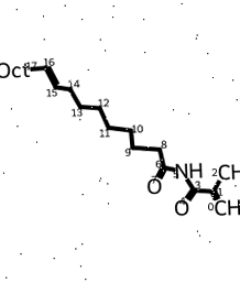 C=C(C)C(=O)NC(=O)CCCCCCCC=CCCCCCCCC